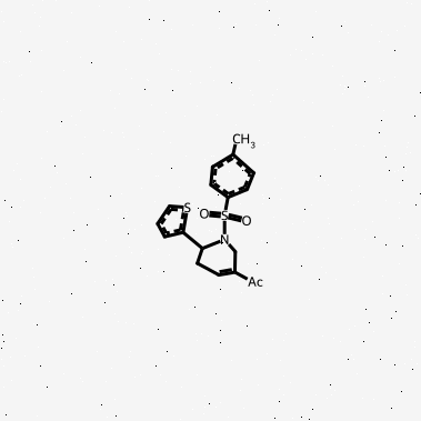 CC(=O)C1=CCC(c2cccs2)N(S(=O)(=O)c2ccc(C)cc2)C1